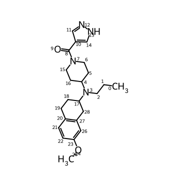 CCCN(C1CCN(C(=O)c2cn[nH]c2)CC1)C1CCc2ccc(OC)cc2C1